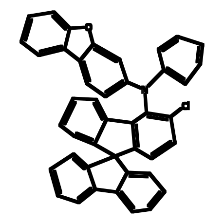 Clc1ccc2c(c1N(c1ccccc1)c1ccc3c(c1)oc1ccccc13)-c1ccccc1C21c2ccccc2-c2ccccc21